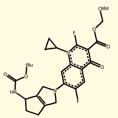 COCOC(=O)c1c(F)n(C2CC2)c2cc(N3CC4=C(C3)C(NC(=O)OC(C)(C)C)CC4)c(F)cc2c1=O